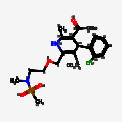 CCOC(=O)C1=C(COCCN(C)S(C)(=O)=O)NC(C)=C(C(=O)OC)C1c1ccccc1Cl